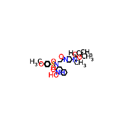 COc1ccc(S(=O)(=O)N(CCC(=O)N2CCC(N(C)C(=O)OC(C)(C)C)CC2)C(CC2CCCCC2)C(=O)NO)cc1